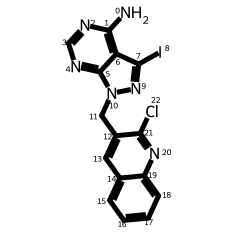 Nc1ncnc2c1c(I)nn2Cc1cc2ccccc2nc1Cl